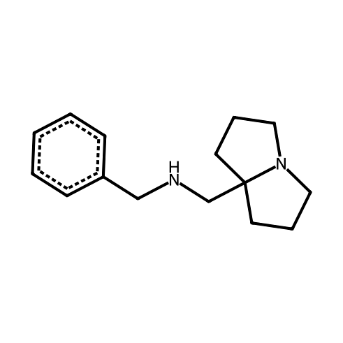 c1ccc(CNCC23CCCN2CCC3)cc1